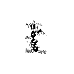 C=CC(=O)Nc1cc(-c2cc3c(cn2)cc(-c2c(Cl)c(OC)cc(OC)c2Cl)c(=O)n3CC)c(OC)cc1N1C[C@@H](C)N[C@@H](C)C1